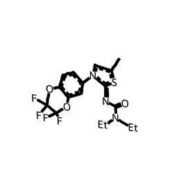 CCN(CC)C(=O)N=c1sc(C)cn1-c1ccc2c(c1)OC(F)(F)C(F)(F)O2